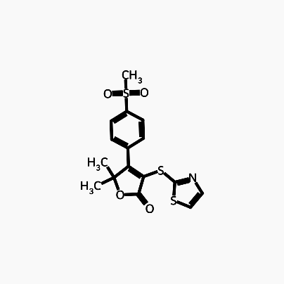 CC1(C)OC(=O)C(Sc2nccs2)=C1c1ccc(S(C)(=O)=O)cc1